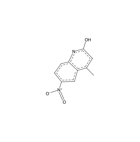 Cc1cc(O)nc2ccc([N+](=O)[O-])cc12